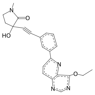 CCOc1ncnc2ccc(-c3cccc(C#CC4(O)CCN(C)C4=O)c3)nc12